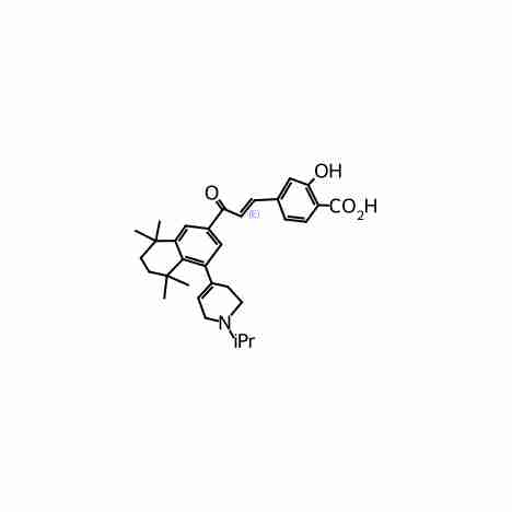 CC(C)N1CC=C(c2cc(C(=O)/C=C/c3ccc(C(=O)O)c(O)c3)cc3c2C(C)(C)CCC3(C)C)CC1